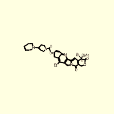 CCc1c2c(nc3ccc(OC(=O)N4CCC(N5CCCCC5)CC4)cc13)-c1cc3c(c(=O)n1C2)COC(=O)[C@@]3(CC)OC